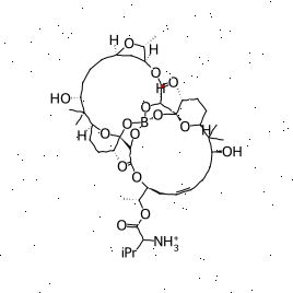 CC(C)C([NH3+])C(=O)O[C@H](C)[C@@H]1C/C=C\CC[C@H](O)C(C)(C)[C@@H]2CC[C@@H](C)[C@]3(O2)O[B-]24OC(C(=O)O1)[C@@]1(O[C@@H](CC[C@H]1C)C(C)(C)[C@H](O)CCC[C@@H]1C[C@H](OC(=O)[C@@H]3O2)[C@@H](C)O1)O4